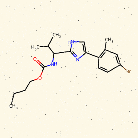 CCCCOC(=O)NC(c1nc(-c2ccc(Br)cc2C)c[nH]1)C(C)C